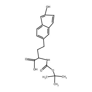 CC(C)(C)OC(=O)NC(CCc1ccc2cc(O)ccc2c1)C(=O)O